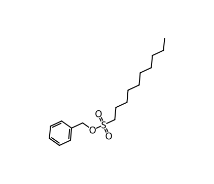 CCCCCCCCCCS(=O)(=O)OCc1ccccc1